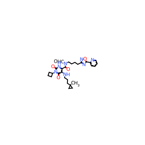 CC1(CCCNc2c(C(=O)N(C=O)CCCCc3noc(-c4ccccn4)n3)[nH]c(=O)n(C3CCC3)c2=O)CC1